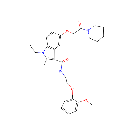 CCn1c(C)c(C(=O)NCCOc2ccccc2OC)c2cc(OCC(=O)N3CCCCC3)ccc21